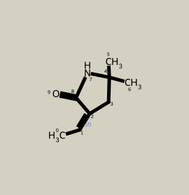 C/C=C1/CC(C)(C)NC1=O